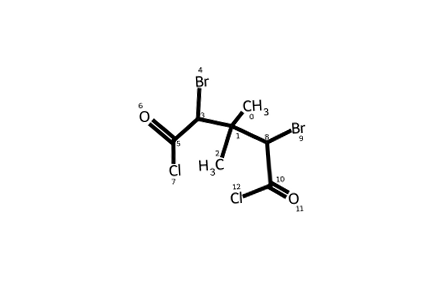 CC(C)(C(Br)C(=O)Cl)C(Br)C(=O)Cl